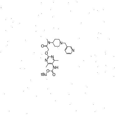 Cc1nc(OCC(=O)N(C)C2CCN(Cc3cccnc3)CC2)nc(C)c1NC(=O)OC(C)(C)C